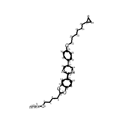 CCCCCCOCCCCC1Oc2ccc(-c3ncc(-c4ccc(OCCCCCCC5CC5)cc4)cn3)cc2O1